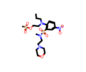 CCCN(CCOS(C)(=O)=O)c1ccc([N+](=O)[O-])cc1S(=O)(=O)N(C)CCN1CCOCC1